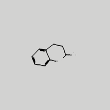 [O]C1CCc2ccccc2O1